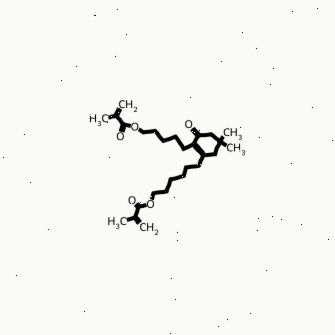 C=C(C)C(=O)OCCCCCCC1=C(CCCCCOC(=O)C(=C)C)C(=O)CC(C)(C)C1